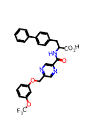 O=C(NC(Cc1ccc(-c2ccccc2)cc1)C(=O)O)c1cnc(COc2cccc(OC(F)(F)F)c2)cn1